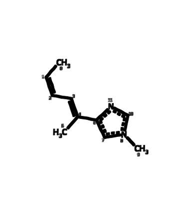 C/C=C\C=C(/C)c1cn(C)cn1